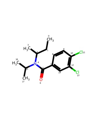 CCC(C)N(C(=O)c1ccc(Cl)c(Cl)c1)C(C)C